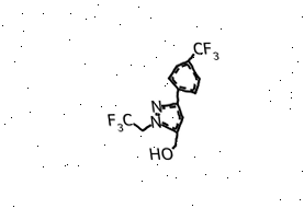 OCc1cc(-c2ccc(C(F)(F)F)cc2)nn1CC(F)(F)F